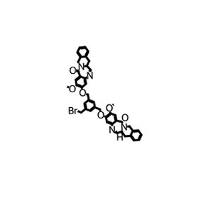 COc1cc2c(cc1OCc1cc(CBr)cc(COc3cc4c(cc3OC)C(=O)N3Cc5ccccc5C[C@H]3C=N4)c1)N=CC1Cc3ccccc3CN1C2=O